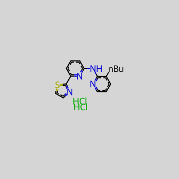 CCCCc1cccnc1Nc1cccc(-c2nccs2)n1.Cl.Cl